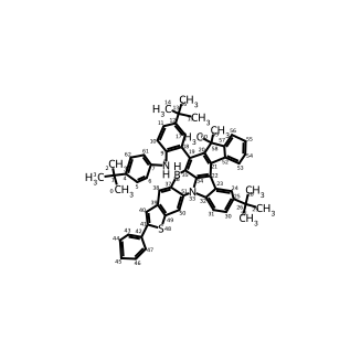 CC(C)(C)c1ccc(Nc2ccc(C(C)(C)C)cc2-c2c3c(c4c5cc(C(C)(C)C)ccc5n5c4c2Bc2cc4cc(-c6ccccc6)sc4cc2-5)-c2ccccc2C3(C)C)cc1